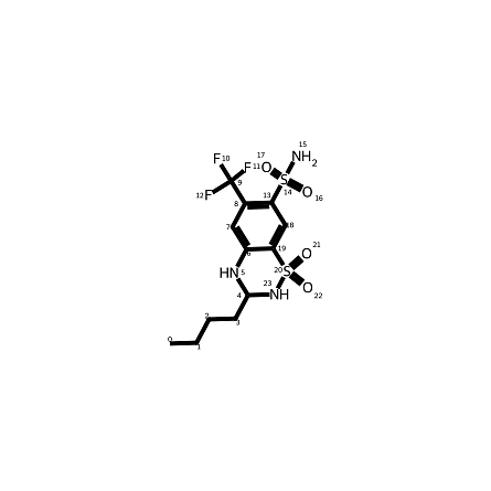 CCCCC1Nc2cc(C(F)(F)F)c(S(N)(=O)=O)cc2S(=O)(=O)N1